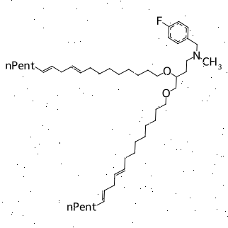 CCCCCC=CCC=CCCCCCCCCOCC(CCN(C)Cc1ccc(F)cc1)OCCCCCCCCC=CCC=CCCCCC